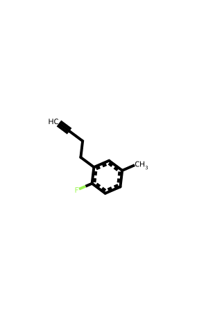 C#CCCc1cc(C)ccc1F